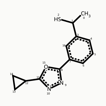 CC(S)c1cccc(-c2nnc(C3CC3)o2)c1